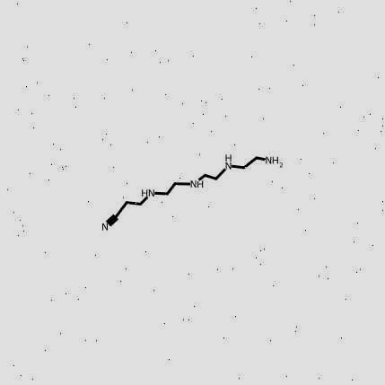 N#CCCNCCNCCNCCN